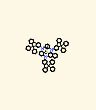 c1ccc(C2(c3ccccc3)c3ccccc3-c3cc(N4c5cccc6c5[SiH]5c7c(cccc7N(c7ccc8c(c7)C(c7ccccc7)(c7ccccc7)c7ccccc7-8)c7cc8ccccc8c4c75)N6c4ccc5c(c4)C(c4ccccc4)(c4ccccc4)c4ccccc4-5)ccc32)cc1